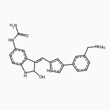 CC(=O)NCc1cccc(-c2c[nH]c(/C=C3/c4cc(NC(N)=O)ccc4NC3O)c2)c1